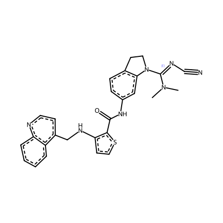 CN(C)/C(=N\C#N)N1CCc2ccc(NC(=O)c3sccc3NCc3ccnc4ccccc34)cc21